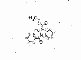 CCOC(=O)C1C(=O)N(C(=O)c2ccccc2)c2ccccc21